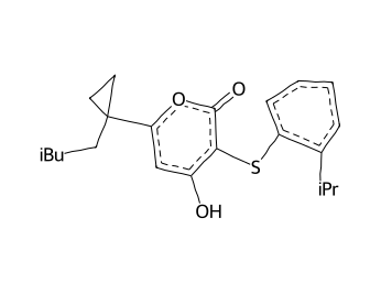 CCC(C)CC1(c2cc(O)c(Sc3ccccc3C(C)C)c(=O)o2)CC1